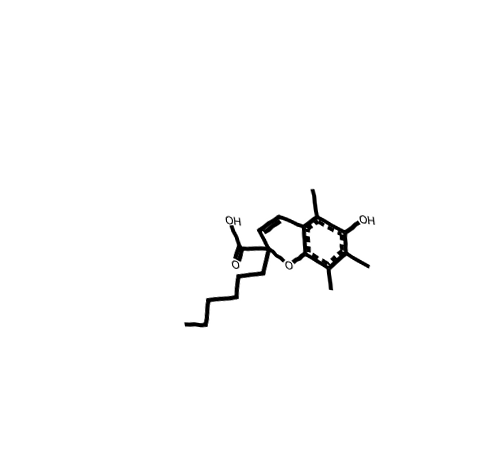 CCCCCCC1(C(=O)O)C=Cc2c(C)c(O)c(C)c(C)c2O1